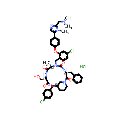 C[C@H]1C(=O)N[C@@H](CO)C(=O)N[C@@]2(Cc3ccc(Cl)cc3)CCCN(C2)C(=O)[C@H](Cc2ccccc2)NC(=O)N1Cc1ccc(Cl)cc1Oc1ccc(-c2cnc(CN(C)C)n2C)cc1.Cl